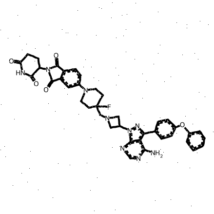 Nc1ncnc2c1c(-c1ccc(Oc3ccccc3)cc1)nn2C1CN(CC2(F)CCN(c3ccc4c(c3)C(=O)N(C3CCC(=O)NC3=O)C4=O)CC2)C1